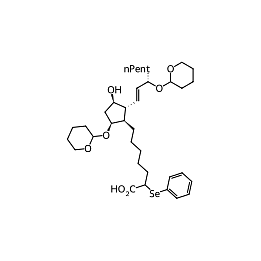 CCCCC[C@@H](/C=C/[C@@H]1[C@@H](CCCCCC([Se]c2ccccc2)C(=O)O)[C@@H](OC2CCCCO2)C[C@H]1O)OC1CCCCO1